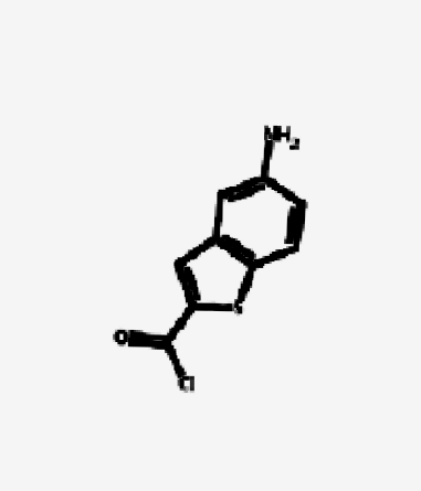 Nc1ccc2sc(C(=O)Cl)cc2c1